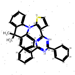 CC1(C)c2ccccc2N(c2sccc2-c2nc(-c3ccccc3)nc(-c3ccccc3)n2)c2ccccc21